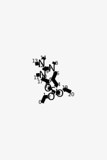 CCO[Si](CCCN(C)C(=NC)N(C)C)(OCC)OCC